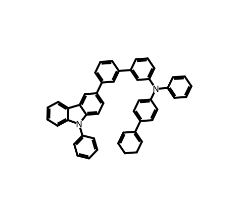 C1=CC(c2ccc(N(c3ccccc3)c3cccc(-c4cccc(-c5ccc6c(c5)c5ccccc5n6-c5ccccc5)c4)c3)cc2)=CCC1